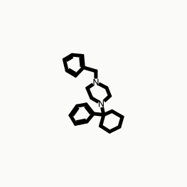 c1ccc(CN2CCN(C3(c4ccccc4)CCCCC3)CC2)cc1